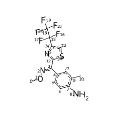 CO/N=C(\c1ccc(N)c(C)c1)c1nc(C(F)(F)C(F)(F)F)cs1